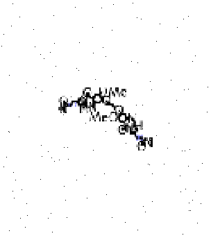 COc1cc2c(cc1OCCCOc1cc3c(cc1OC)C(=O)N1C=C(/C=C/C(=O)N(C)C)C[C@H]1C=N3)N=C[C@@H]1CC(/C=C/C(=O)N(C)C)=CN1C2=O